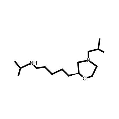 CC(C)CN1CCO[C@@H](CCCCCNC(C)C)C1